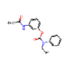 CC(C)COC(=O)Nc1cccc(OC(=O)N(CC(C)C)c2ccccc2)c1